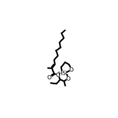 CCCCCCCCC=C(C)C(=O)OC(CC)C(C)O[SiH]1CCCCO1